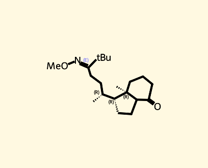 CO/N=C(\CC[C@@H](C)[C@H]1CCC2C(=O)CCC[C@@]21C)C(C)(C)C